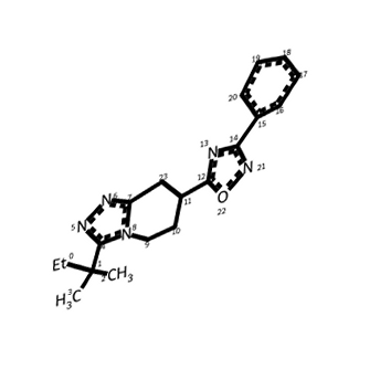 CCC(C)(C)c1nnc2n1CCC(c1nc(-c3ccccc3)no1)C2